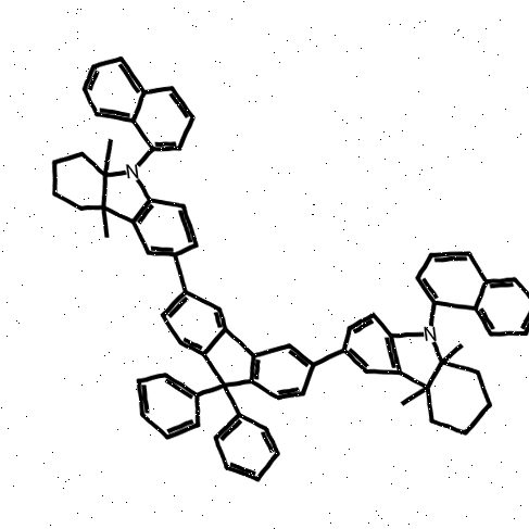 CC12CCCCC1(C)N(c1cccc3ccccc13)c1ccc(-c3ccc4c(c3)-c3cc(-c5ccc6c(c5)C5(C)CCCCC5(C)N6c5cccc6ccccc56)ccc3C4(c3ccccc3)c3ccccc3)cc12